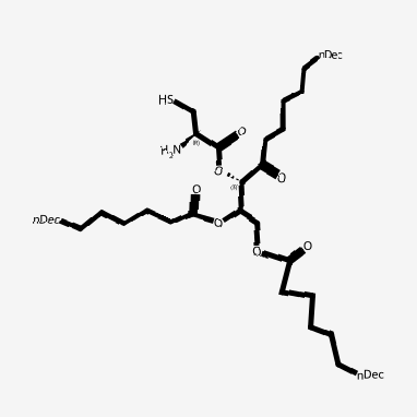 CCCCCCCCCCCCCCCC(=O)OCC(OC(=O)CCCCCCCCCCCCCCC)[C@H](OC(=O)[C@@H](N)CS)C(=O)CCCCCCCCCCCCCCC